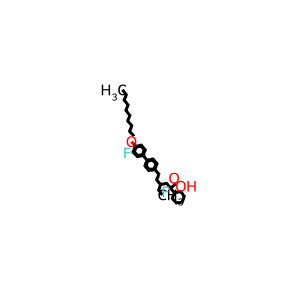 CCCCCCCCCCOc1ccc(-c2ccc(CCC(CC)C[C@@](F)(C(=O)O)C3CCCCC3)cc2)cc1F